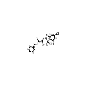 O=C(OCc1ccccc1)N1CCC(O)(c2ccc(Cl)cc2F)CC1